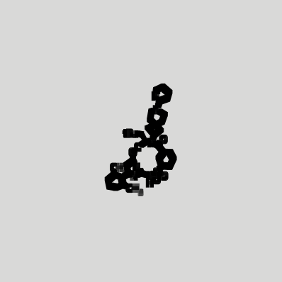 Cc1cccc(C)c1-c1cc2nc(n1)NS(=O)(=O)c1cccc(c1)C(=O)N(C1CC3(CCN(c4ccccn4)CC3)C1)[C@H](CC(C)(C)C)CO2